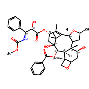 CC(=O)O[C@@]12COC1C[C@H](O)[C@@]1(C)C3CC(C=O)O[C@@H]3C3=C(C)[C@@H](OC(=O)[C@H](O)[C@@H](NC(=O)OC(C)(C)C)c4ccccc4)C[C@@](O)([C@@H](OC(=O)c4ccccc4)[C@@H]12)C3(C)C